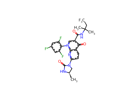 C[C@@H]1CN(c2ccc3c(=O)c(C(=O)NC(C)(C)CC(F)(F)F)cn(-c4c(F)cc(F)cc4F)c3n2)C(=O)N1